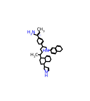 C/C=C(\CN)C1=CC=C(C(CCC(C)C2CCC(C3C=CNC3)C3CCC=CC23)CNc2ccc3c(c2)C=CCC3)CC1